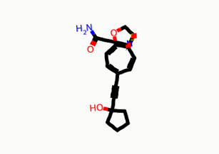 NC(=O)C1=NC23C=CC(C#CC4(O)CCCC4)=CC=C2OCC3CS1